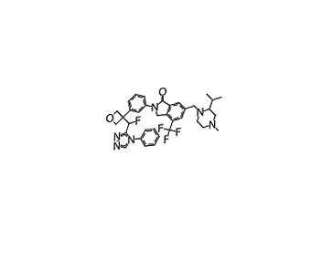 CC(C)C1CN(C)CCN1Cc1cc2c(c(C(F)(F)F)c1)CN(c1cccc(C3(C(F)c4nncn4-c4ccccc4)COC3)c1)C2=O